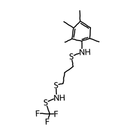 Cc1cc(C)c(NSCCCSNSC(F)(F)F)c(C)c1C